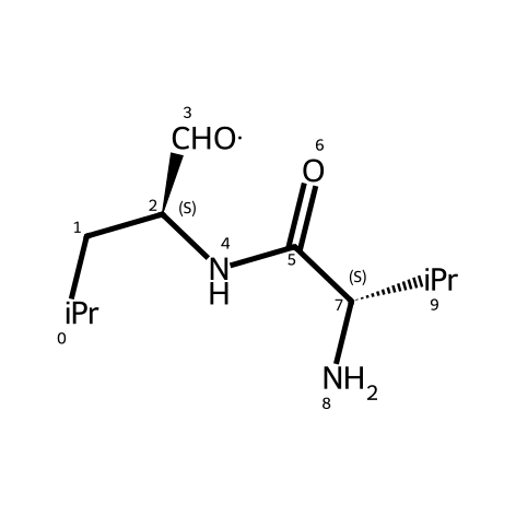 CC(C)C[C@@H]([C]=O)NC(=O)[C@@H](N)C(C)C